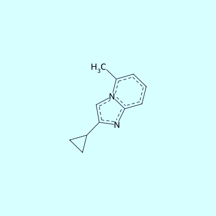 Cc1cccc2nc(C3CC3)cn12